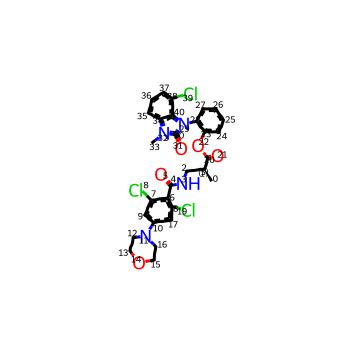 C[C@@H](CNC(=O)c1c(Cl)cc(N2CCOCC2)cc1Cl)C(=O)Oc1ccccc1-n1c(=O)n(C)c2cccc(Cl)c21